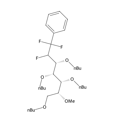 CCCCOC[C@@H](OC)[C@@H](OCCCC)[C@H](OCCCC)[C@@H](OCCCC)C(F)C(F)(F)c1ccccc1